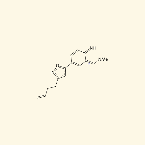 C=CCCc1cc(C2=C/C(=C/NC)C(=N)C=C2)on1